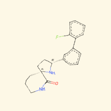 O=C1NCCC[C@@]12CC[C@H](c1cccc(-c3ccccc3F)c1)N2